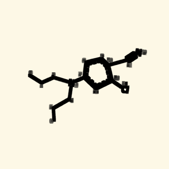 CCCN(CCC)c1ccc(C#N)c(Cl)c1